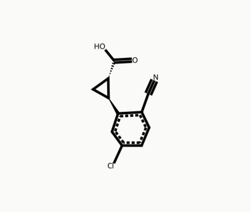 N#Cc1ccc(Cl)cc1[C@H]1C[C@@H]1C(=O)O